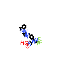 CC(C)c1ccccc1-c1ncc2cnn(Cc3ccc(-c4nc(C(F)(F)F)cn4C4CN(C(=O)O)C4)cc3)c2n1